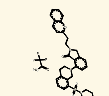 O=C(O)C(F)(F)F.O=C1c2c(cccc2N2CCc3cccc(S(=O)(=O)N4CCOCC4)c3C2)CN1CCc1ccc2ccccc2n1